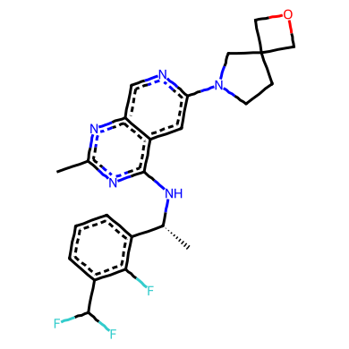 Cc1nc(N[C@H](C)c2cccc(C(F)F)c2F)c2cc(N3CCC4(COC4)C3)ncc2n1